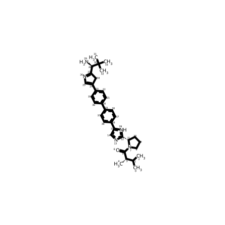 CC(C)[C@H](C)C(=O)N1CCC[C@H]1c1ncc(-c2ccc(-c3ccc(C4=CN=C([C@@H](N)C(C)(C)C)C4)cc3)cc2)[nH]1